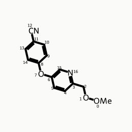 COOCc1ccc(Oc2ccc(C#N)cc2)cn1